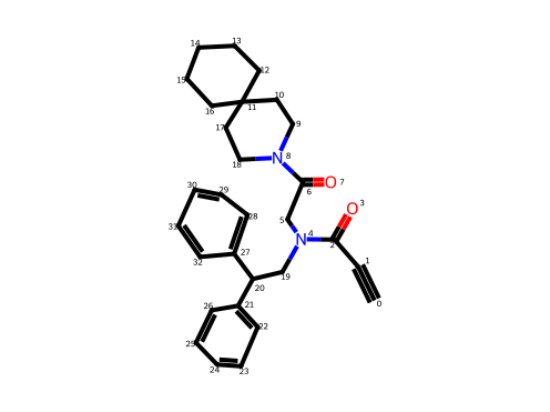 C#CC(=O)N(CC(=O)N1CCC2(CCCCC2)CC1)CC(c1ccccc1)c1ccccc1